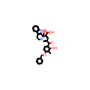 Cc1c(OCc2ccccc2)ccc(C(=O)C2=CN3CCc4c([nH]c5ccccc45)C3(C(=O)O)C(C(=O)O)=C2)c1O